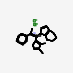 CC1=CC[C](/[Zr+2](=[C](/C)c2ccccc2)[CH]2C=CC3=C2CCCC3)=C1C.[Cl-].[Cl-]